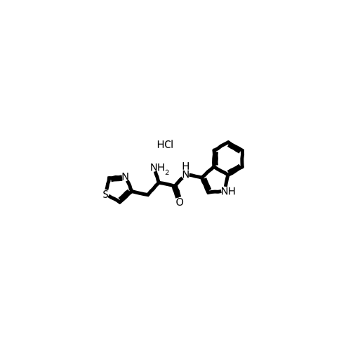 Cl.NC(Cc1cscn1)C(=O)Nc1c[nH]c2ccccc12